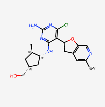 CCCc1cc2c(cn1)OC(c1c(Cl)nc(N)nc1N[C@@H]1C[C@H](CO)C[C@H]1C)C2